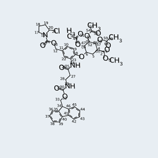 COC(=O)[C@H]1CC(Oc2ccc(COC(=O)N3CCCC3Cl)cc2NC(=O)CCNC(=O)OCC2c3ccccc3-c3ccccc32)[C@H](OC(C)=O)[C@@H](OC(C)=O)[C@@H]1OC(C)=O